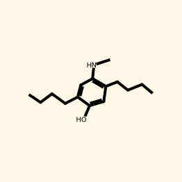 CCCCc1cc(NC)c(CCCC)cc1O